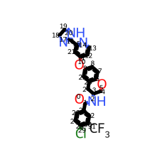 O=C(NC1COc2ccc(Oc3ccnc(C4=NCCN4)c3)cc2C1)c1ccc(Cl)c(C(F)(F)F)c1